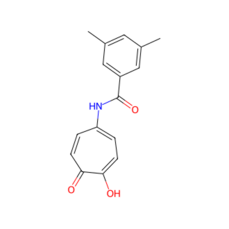 Cc1cc(C)cc(C(=O)Nc2ccc(O)c(=O)cc2)c1